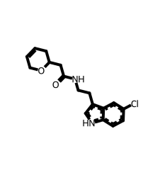 O=C(CC1CC=CCO1)NCCc1c[nH]c2ccc(Cl)cc12